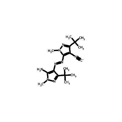 [C-]#[N+]c1c(C(C)(C)C)nn(C)c1/N=N/c1c(C(C)(C)C)nn(C)c1N